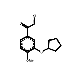 COc1ccc(C(=O)CCl)cc1OC1CCCC1